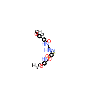 COc1ccc(CNS(=O)(=O)c2ccc3snc(NCCCNC(=O)c4ccc(-c5ccc(OC)cc5)cc4)c3c2)cc1